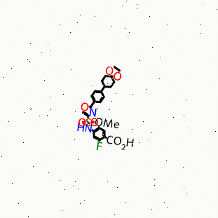 COc1cc(C(=O)O)c(F)cc1NS(=O)(=O)c1coc(-c2ccc(C3CCC4(CC3)OCCO4)cc2)n1